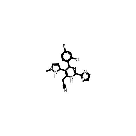 CN1C=CC(C2=C(CC#N)NC(c3nccs3)=NC2c2ccc(F)cc2Cl)N1